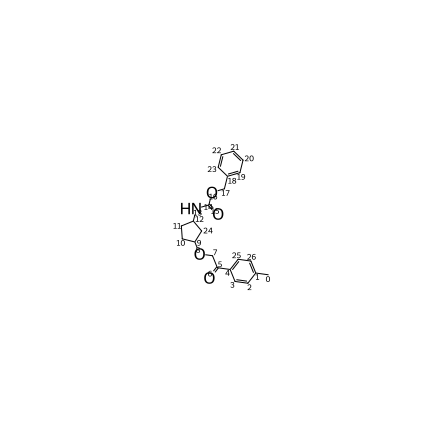 Cc1ccc(C(=O)COC2CCC(NC(=O)OCc3ccccc3)C2)cc1